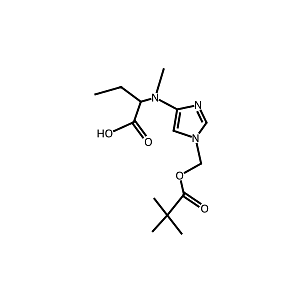 CCC(C(=O)O)N(C)c1cn(COC(=O)C(C)(C)C)cn1